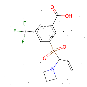 C=CC(N1CCC1)S(=O)(=O)c1cc(C(=O)O)cc(C(F)(F)F)c1